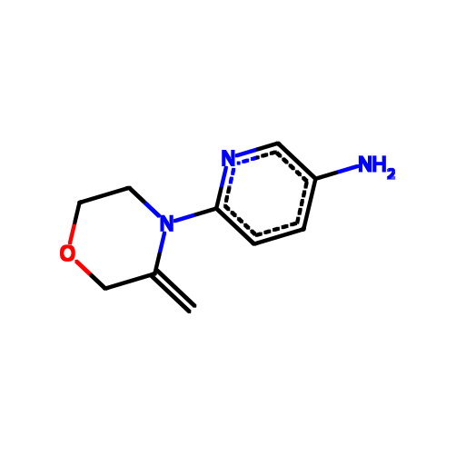 C=C1COCCN1c1ccc(N)cn1